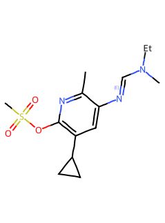 CCN(C)/C=N/c1cc(C2CC2)c(OS(C)(=O)=O)nc1C